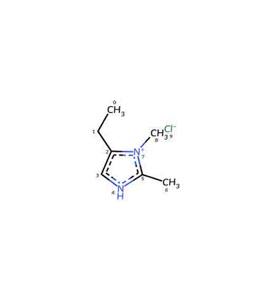 CCc1c[nH]c(C)[n+]1C.[Cl-]